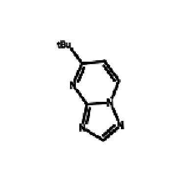 CC(C)(C)c1ccn2ncnc2n1